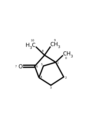 CC12CCC(C1)C(=O)C2(C)C